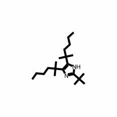 CCCCC(C)(C)c1nc(C(C)(C)C)[nH]c1C(C)(C)CCCC